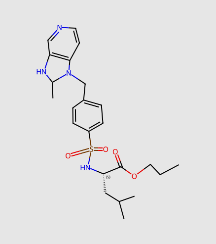 CCCOC(=O)[C@H](CC(C)C)NS(=O)(=O)c1ccc(CN2c3ccncc3NC2C)cc1